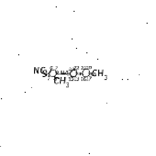 Cc1cc(SC#N)ccc1C#Cc1ccc(C2CCC(C)CC2)cc1